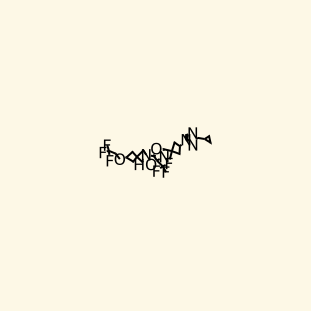 O=C(N1CC2(CC(OCC(F)(F)F)C2)C1)C(O)(N1CC2(CC(n3cnc(C4CC4)n3)C2)C1)C(F)(F)F